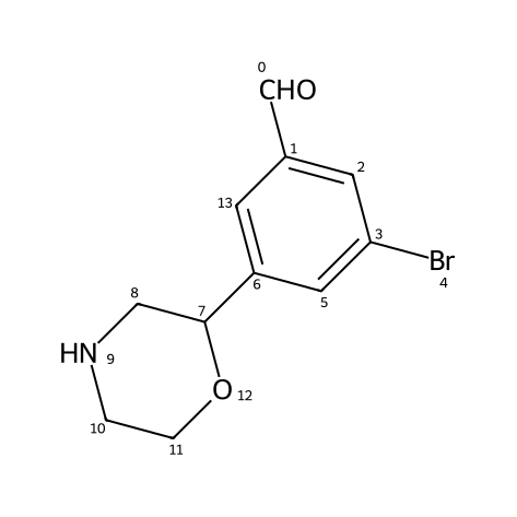 O=Cc1cc(Br)cc(C2CNCCO2)c1